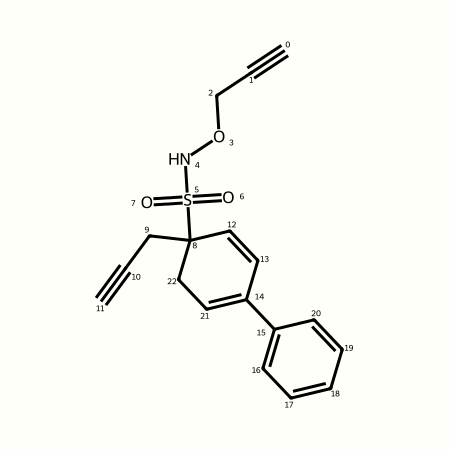 C#CCONS(=O)(=O)C1(CC#C)C=CC(c2ccccc2)=CC1